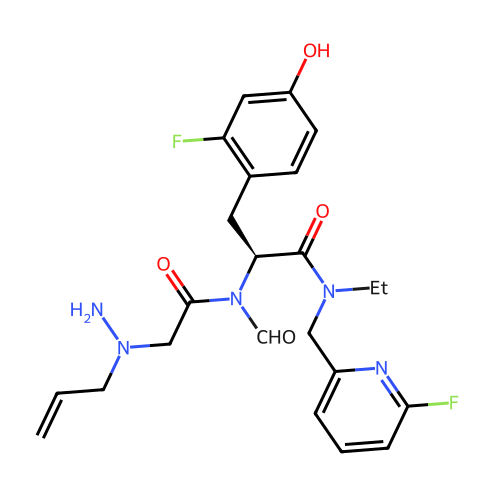 C=CCN(N)CC(=O)N(C=O)[C@@H](Cc1ccc(O)cc1F)C(=O)N(CC)Cc1cccc(F)n1